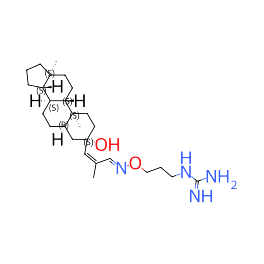 CC(C=NOCCCNC(=N)N)=C[C@]1(O)CC[C@@]2(C)[C@H](CC[C@H]3[C@@H]4CCC[C@@]4(C)CC[C@@H]32)C1